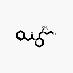 CN(CCCl)CC1CCCCN1C(=O)CC1=CCCC=C1